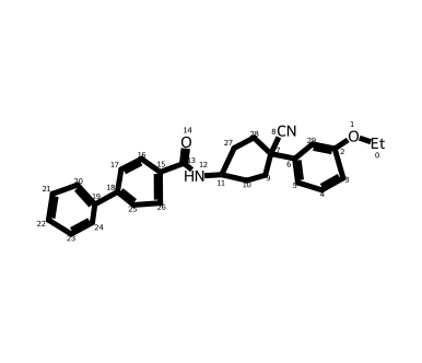 CCOc1cccc(C2(C#N)CCC(NC(=O)c3ccc(-c4ccccc4)cc3)CC2)c1